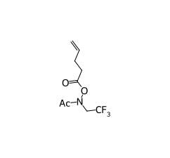 C=CCCC(=O)ON(CC(F)(F)F)C(C)=O